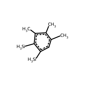 Cc1cc([SiH3])c([SiH3])c(C)c1C